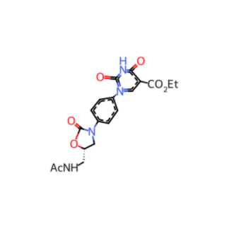 CCOC(=O)c1cn(-c2ccc(N3C[C@H](CNC(C)=O)OC3=O)cc2)c(=O)[nH]c1=O